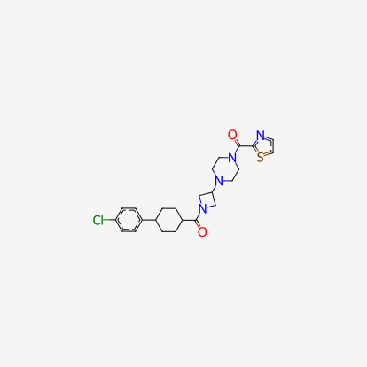 O=C(c1nccs1)N1CCN(C2CN(C(=O)C3CCC(c4ccc(Cl)cc4)CC3)C2)CC1